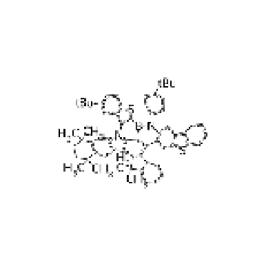 CC(C)(C)c1ccc(N2B3c4sc5ccc(C(C)(C)C)cc5c4-n4c5cc6c(cc5c5c7c(c(c3c54)-c3cc4sc5ccccc5c4cc32)-c2ccccc2C7(C)C)C(C)(C)CCC6(C)C)cc1